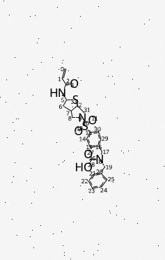 C=CC(=O)NC1CC2CN(S(=O)(=O)c3ccc(CN(Cc4ccccc4)C(=O)O)cc3)CC2S1